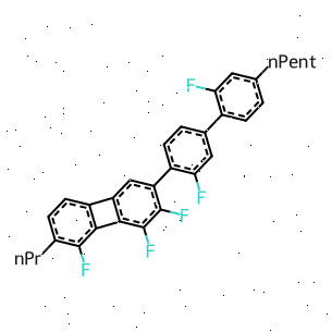 CCCCCc1ccc(-c2ccc(-c3cc4c(c(F)c3F)-c3c-4ccc(CCC)c3F)c(F)c2)c(F)c1